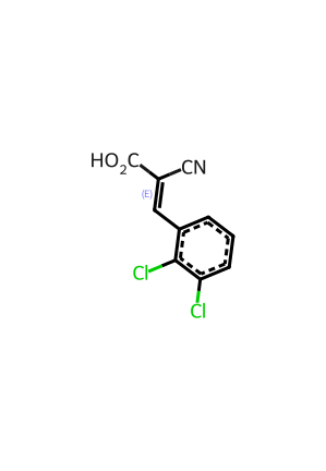 N#C/C(=C\c1cccc(Cl)c1Cl)C(=O)O